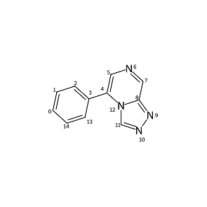 c1ccc(-c2cncc3nncn23)cc1